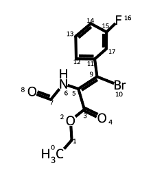 CCOC(=O)C(NC=O)=C(Br)c1cccc(F)c1